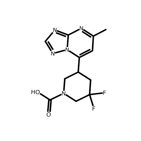 Cc1cc(C2CN(C(=O)O)CC(F)(F)C2)n2ncnc2n1